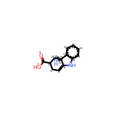 O=C(O)C1CC=C2Nc3ccccc3C23CCNC13